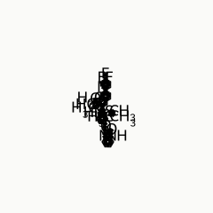 CCC(CC)(C(=O)O)C(Cc1ccc(-c2ccc(C(F)(F)F)cn2)cc1)c1[nH]c2ccc(OCc3nc4ccccc4[nH]c3=O)cc2c1SC(C)(C)C